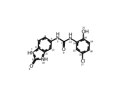 O=C(Nc1ccc2[nH]c(=O)[nH]c2c1)Nc1cc(Cl)ccc1O